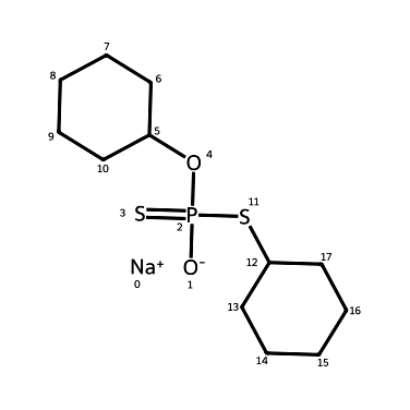 [Na+].[O-]P(=S)(OC1CCCCC1)SC1CCCCC1